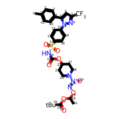 Cc1ccc(-c2cc(C(F)(F)F)nn2-c2ccc(S(=O)(=O)NC(=O)OC3CCN([N+]([O-])=NOC(C)OC(=O)C(C)(C)C)CC3)cc2)cc1